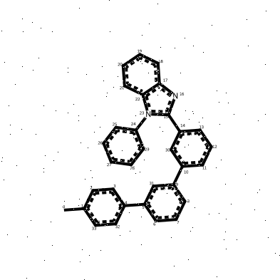 Cc1ccc(-c2cccc(-c3cccc(-c4nc5ccccc5n4-c4ccccc4)c3)c2)cc1